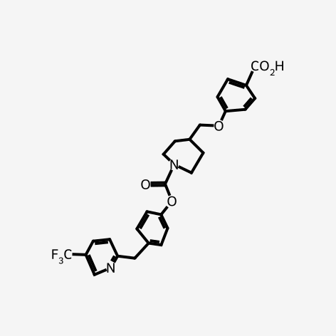 O=C(O)c1ccc(OCC2CCN(C(=O)Oc3ccc(Cc4ccc(C(F)(F)F)cn4)cc3)CC2)cc1